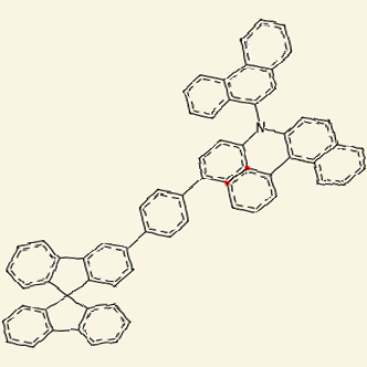 c1ccc(-c2c(N(c3ccc(-c4ccc(-c5ccc6c(c5)-c5ccccc5C65c6ccccc6-c6ccccc65)cc4)cc3)c3cc4ccccc4c4ccccc34)ccc3ccccc23)cc1